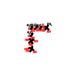 C=CC(=O)O.C=CC(=O)O.C=CC(=O)O.C=CC(=O)O.CCC(CO)(CO)CO.OCC(CO)(CO)COCC(CO)(CO)CO